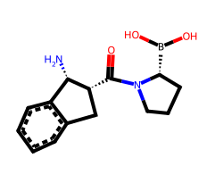 N[C@H]1c2ccccc2C[C@H]1C(=O)N1CCC[C@H]1B(O)O